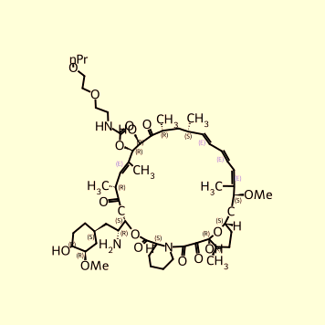 CCCOCCOCCNC(=O)O[C@@H]1/C(C)=C/[C@@H](C)C(=O)C[C@@H]([C@H](N)C[C@@H]2CC[C@@H](O)[C@H](OC)C2)OC(=O)[C@@H]2CCCCN2C(=O)C(=O)[C@]2(O)O[C@@H](CC[C@H]2C)C[C@H](OC)/C(C)=C/C=C/C=C/[C@@H](C)C[C@@H](C)C(=O)[C@@H]1O